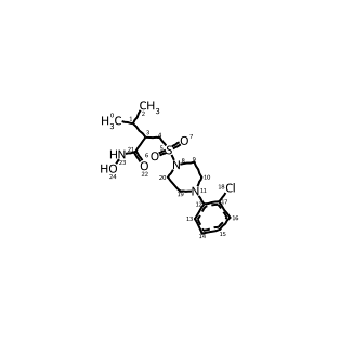 CC(C)C(CS(=O)(=O)N1CCN(c2ccccc2Cl)CC1)C(=O)NO